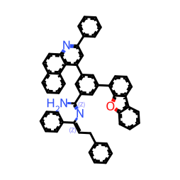 N/C(=N\C(=C/Cc1ccccc1)c1ccccc1)c1cc(-c2cccc3c2oc2ccccc23)cc(-c2cc(-c3ccccc3)nc3ccc4ccccc4c23)c1